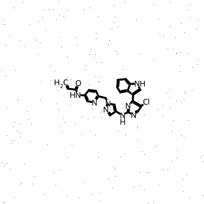 C=CC(=O)Nc1ccc(Cn2cc(Nc3ncc(Cl)c(-c4c[nH]c5ccccc45)n3)cn2)nc1